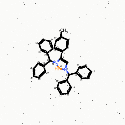 Cc1ccc(C2=CN(C(c3ccccc3)c3ccccc3)PN2C(c2ccccc2)c2ccccc2)cc1